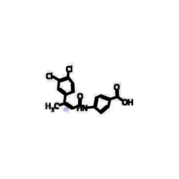 C/C(=C/C(=O)Nc1ccc(C(=O)O)cc1)c1ccc(Cl)c(Cl)c1